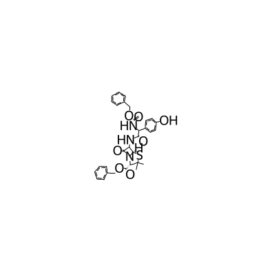 CC1(C)S[C@@H]2C(NC(=O)C(NC(=O)OCc3ccccc3)c3ccc(O)cc3)C(=O)N2[C@H]1C(=O)OCc1ccccc1